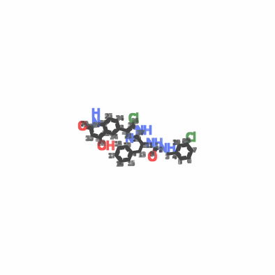 O=C(NCc1cccc(Cl)c1)NC(Cc1ccccc1)c1nc(-c2ccc3[nH]c(=O)cc(O)c3c2)c(Cl)[nH]1